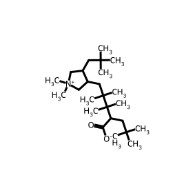 CC(C)(C)CC1C[N+](C)(C)CC1CC(C)(C)C(C)(C)C(CC(C)(C)C)C(=O)[O-]